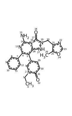 CCn1cc(-c2c(-c3ccccc3)nc(N)[n+]3c(=O)n(Cc4ncoc4C)[nH]c23)ccc1=O